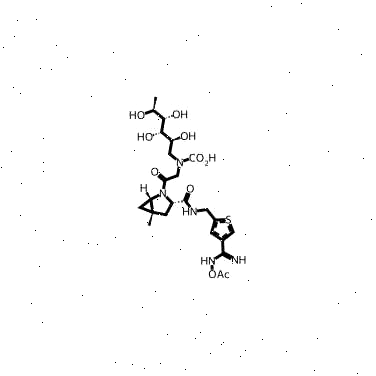 CC(=O)ONC(=N)c1csc(CNC(=O)[C@@H]2C[C@]3(C)C[C@@H]3N2C(=O)CN(C[C@H](O)[C@H](O)[C@@H](O)[C@H](C)O)C(=O)O)c1